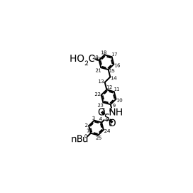 CCCCc1ccc(S(=O)(=O)Nc2ccc(CCc3cccc(C(=O)O)c3)cc2)cc1